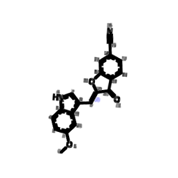 COc1ccc2[nH]cc(/C=C3\Oc4cc(C#N)ccc4C3=O)c2c1